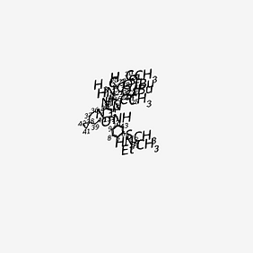 CCC(C)(C)NSc1cccc(NC(=O)c2ncc(NC(C)(CO[Si](C)(C)C(C)(C)C)CO[Si](C)(C)C(C)(C)C)nc2N2CCC3(CC2)CC3)c1